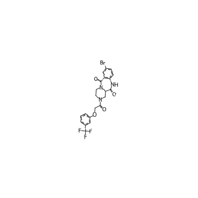 O=C1Nc2ccc(Br)cc2C(=O)N2CCN(C(=O)COc3cccc(C(F)(F)F)c3)CC12